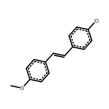 COc1ccc(C=Cc2ccc(Cl)cc2)cc1